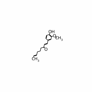 C/C=C/CCCC(=O)/C=C/c1ccc(O)c(OC)c1